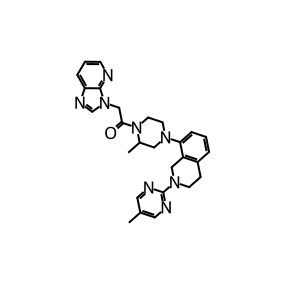 Cc1cnc(N2CCc3cccc(N4CCN(C(=O)Cn5cnc6cccnc65)C(C)C4)c3C2)nc1